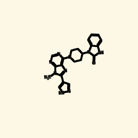 Cn1c(-c2cn[nH]c2)nc2c(N3CCC(n4c(=O)[nH]c5ccccc54)CC3)ncnc21